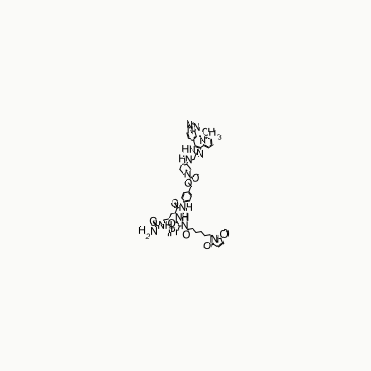 Cc1cccc(-c2nc(CNC3CCCN(C(=O)OCc4ccc(NC(=O)[C@H](CCCNC(N)=O)NC(=O)C(NC(=O)CCCCCN5C(=O)C=CC5=O)C(C)C)cc4)C3)[nH]c2-c2ccn3ncnc3c2)n1